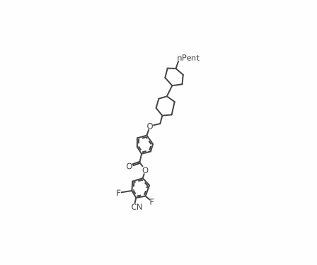 CCCCCC1CCC(C2CCC(COc3ccc(C(=O)Oc4cc(F)c(C#N)c(F)c4)cc3)CC2)CC1